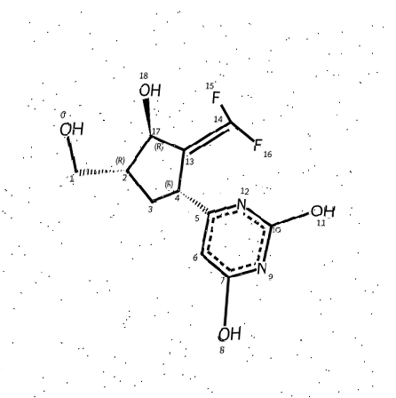 OC[C@H]1C[C@@H](c2cc(O)nc(O)n2)C(=C(F)F)[C@@H]1O